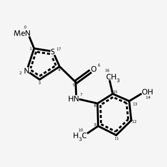 CNc1ncc(C(=O)Nc2c(C)ccc(O)c2C)s1